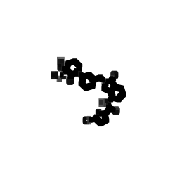 CC1(C)CCCN(c2cccc(CN3Cc4c(NC(=O)c5ccc(Cl)s5)cccc4C3=O)c2)C1=O